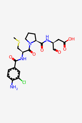 CSC[C@H](NC(=O)c1ccc(N)c(Cl)c1)C(=O)N1CCC[C@H]1C(=O)N[C@H](C=O)CC(=O)O